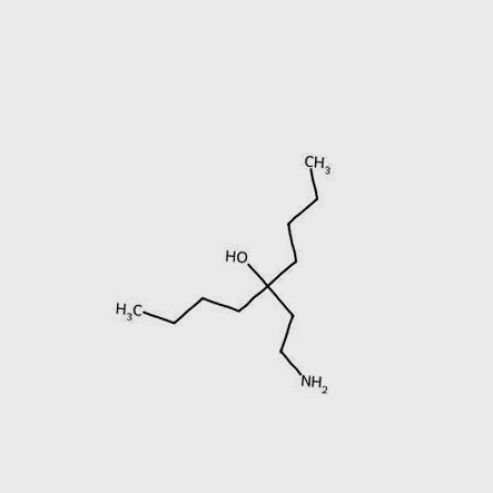 CCCCC(O)(CCN)CCCC